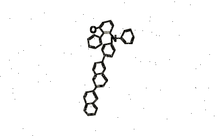 c1ccc(N(c2ccc(-c3ccc4cc(-c5ccc6ccccc6c5)ccc4c3)cc2)c2cccc3oc4ccccc4c23)cc1